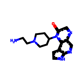 NCCN1CCC(n2c(=O)cnc3cnc4[nH]ccc4c32)CC1